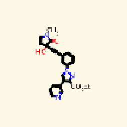 CCOC(=O)c1nn(-c2cccc(C#C[C@]3(O)CCN(C)C3=O)c2)cc1-c1cccnc1